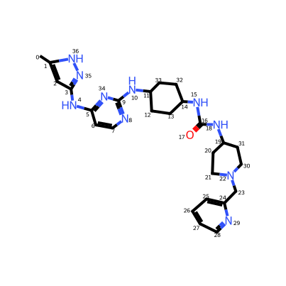 Cc1cc(Nc2ccnc(NC3CCC(NC(=O)NC4CCN(Cc5ccccn5)CC4)CC3)n2)n[nH]1